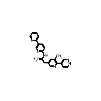 C=C(Cc1cnc(-c2ccnnc2)c(C)c1)Nc1ccc(-c2ccccn2)cn1